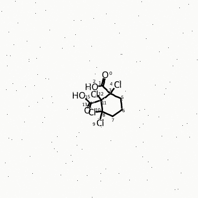 O=C(O)C1(Cl)CCCC(Cl)(Cl)C1(Cl)C(=O)O